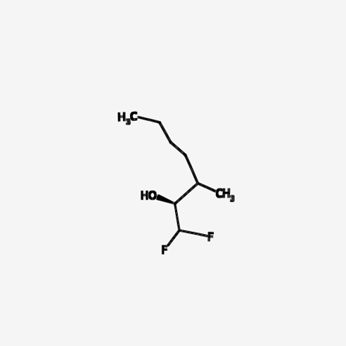 CCCCC(C)[C@H](O)C(F)F